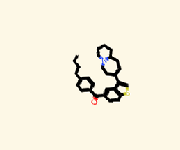 CCCCc1ccc(C(=O)c2ccc3scc(C4CCC5CCCCN5CC4)c3c2)cc1